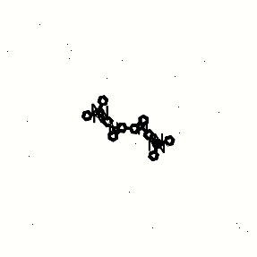 C1=CCC(c2nc(-c3ccccc3)nc(-c3ccc(-n4c5ccccc5c5cc(-c6ccc7c(c6)c6ccccc6n7-c6ccc(-c7nc(-c8ccccc8)nc(-c8ccccc8)n7)cc6)ccc54)cc3)n2)C=C1